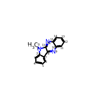 Cn1c2ccccc2c2nc3ccccc3nc21